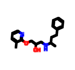 Cc1cccnc1OCC(O)CNC(C)CCc1ccccc1